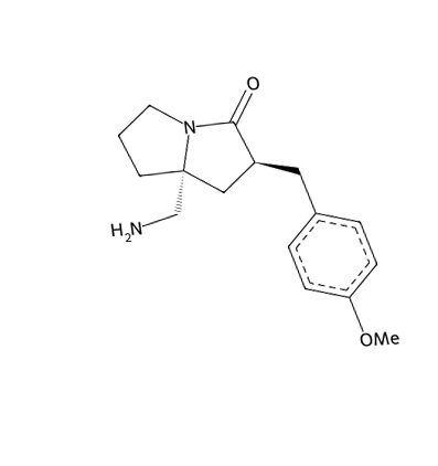 COc1ccc(C[C@H]2C[C@@]3(CN)CCCN3C2=O)cc1